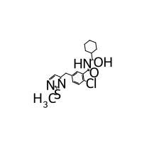 CSc1nccc(Cc2ccc(Cl)c(C(=O)NC(O)C3CCCCC3)c2)n1